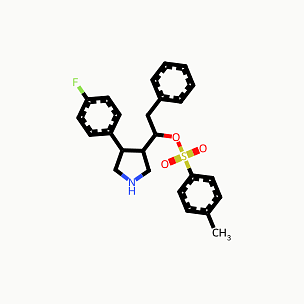 Cc1ccc(S(=O)(=O)OC(Cc2ccccc2)C2CNCC2c2ccc(F)cc2)cc1